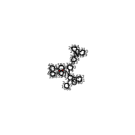 c1ccc(-c2cc(N(c3ccc(-c4ccc(-n5c6ccccc6c6ccccc65)cc4)cc3)c3ccc(-c4cccc5cccc(-c6ccccc6)c45)cc3)cc3c2oc2ccccc23)cc1